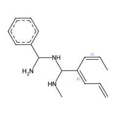 C=C/C=C(\C=C/C)C(NC)NC(N)c1ccccc1